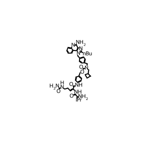 CCCCc1nc2c(N)nc3ccccc3c2n1Cc1ccc(CN(CC2CCC2)C(=O)OCc2ccc(NC(=O)/C(=C\CCNC(N)=O)NC(=O)C(N)C(C)C)cc2)cc1